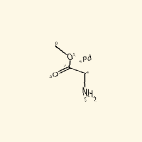 COC(=O)CN.[Pd]